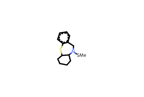 CSN1Cc2ccccc2SC2CCCCC21